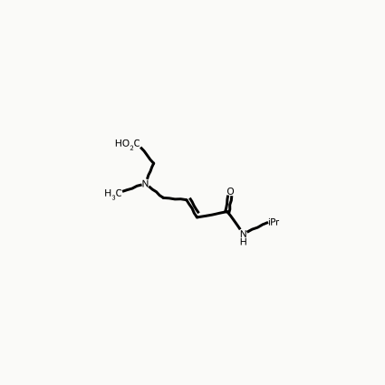 CC(C)NC(=O)/C=C/CN(C)CC(=O)O